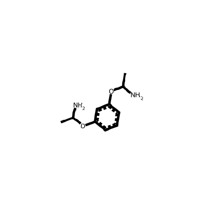 CC(N)Oc1cccc(OC(C)N)c1